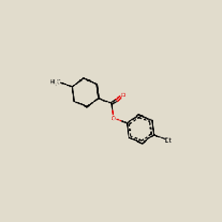 CCc1ccc(OC(=O)C2CCC(C)CC2)cc1